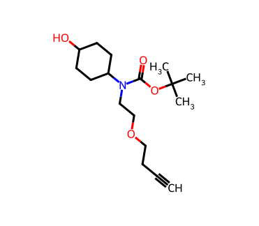 C#CCCOCCN(C(=O)OC(C)(C)C)C1CCC(O)CC1